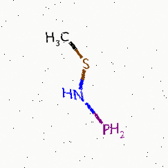 CSNP